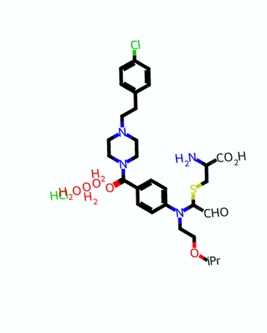 CC(C)OCCN(c1ccc(C(=O)N2CCN(CCc3ccc(Cl)cc3)CC2)cc1)C(C=O)SCC(N)C(=O)O.Cl.O.O.O